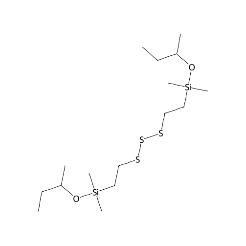 CCC(C)O[Si](C)(C)CCSSSCC[Si](C)(C)OC(C)CC